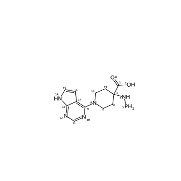 O=C(O)C1(NP)CCN(c2ncnc3[nH]ccc23)CC1